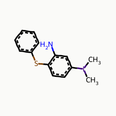 CI(C)c1ccc(Sc2ccccc2)c(N)c1